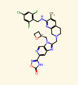 O=c1[nH]c(-c2cc3nc(CN4CCc5cc(C(F)(F)F)c(NCc6c(F)cc(Cl)cc6F)nc5C4)n(C[C@@H]4CCO4)c3cn2)no1